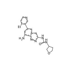 CCc1ccncc1-c1cc(N)c2nnc(NC(=O)NC3CCOC3)cc2c1